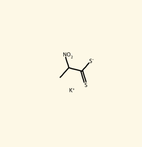 CC(C(=S)[S-])[N+](=O)[O-].[K+]